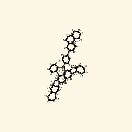 c1ccc(N(c2ccc(-c3ccc4c(ccc5ccccc54)c3)cc2)c2cccc3c2oc2ccccc23)c(-c2cccc3c2oc2cc4ccccc4cc23)c1